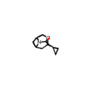 CC(C)N1C2COC(C3CC3)CC1C2